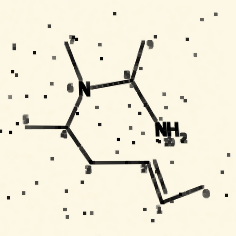 CC=CCC(C)N(C)C(C)N